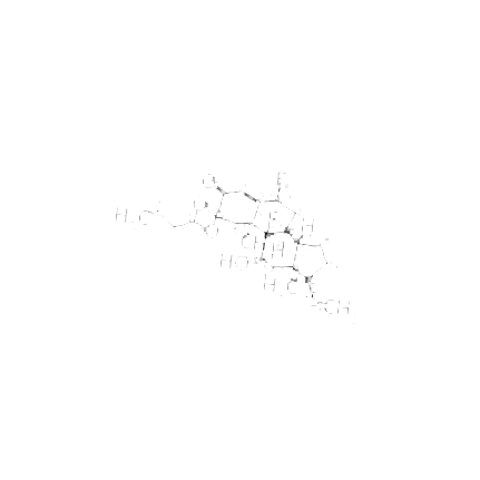 CCCC1OC2(C[C@@]3(C)C(=CC2=O)[C@@H](F)C[C@H]2[C@@H]4CC[C@@H](SC)[C@@]4(C)C[C@H](O)[C@@]23F)O1